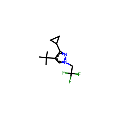 CC(C)(C)c1cn(CC(F)(F)F)nc1C1CC1